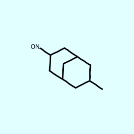 CC1CC2CC(C1)CC(N=O)C2